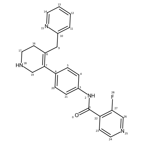 O=C(Nc1ccc(C2=C(Cc3ccccn3)CCNC2)cc1)c1ccncc1F